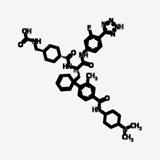 Cc1cc(C(=O)NC2CCC(N(C)C)CC2)ccc1C1(C[C@H](NC(=O)[C@H]2CC[C@H](CNC(=O)O)CC2)C(=O)Nc2ccc(-c3nn[nH]n3)c(F)c2)C=CC=CC1